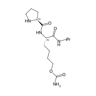 CC(C)NC(=O)[C@H](CCCCOC(N)=O)NC(=O)[C@@H]1CCCN1